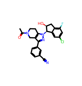 CC(=O)N1CCc2c(c(-c3cccc(C#N)c3)nn2[C@@H]2c3cc(Cl)cc(F)c3C[C@@H]2O)C1